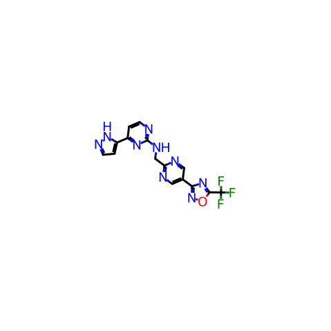 FC(F)(F)c1nc(-c2cnc(CNc3nccc(-c4ccn[nH]4)n3)nc2)no1